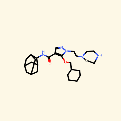 O=C(NC1C2CC3CC(C2)CC1C3)c1cnn(CCN2CCNCC2)c1OCC1CCCCC1